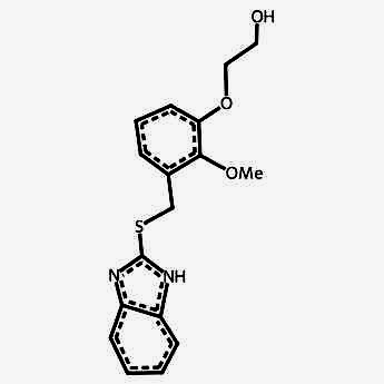 COc1c(CSc2nc3ccccc3[nH]2)cccc1OCCO